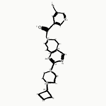 O=C(c1cncc(Br)c1)N1CCc2cnc(N3CCN(C4CCC4)CC3)nc2CC1